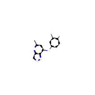 Cc1cc(Nc2ccc(Cl)c(Cl)c2)c2[nH]ncc2n1